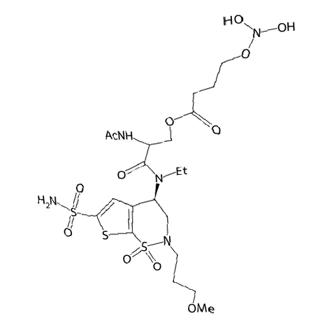 CCN(C(=O)C(COC(=O)CCCON(O)O)NC(C)=O)[C@H]1CN(CCCOC)S(=O)(=O)c2sc(S(N)(=O)=O)cc21